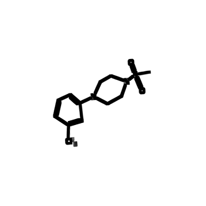 CS(=O)(=O)N1CCN(c2cccc(C(F)(F)F)c2)CC1